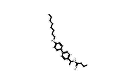 CCCCCCCCOc1ccc(-c2ccc(C(C)OC(=O)CCC)cc2)cc1